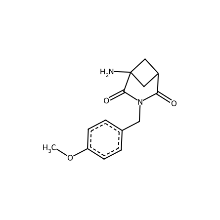 COc1ccc(CN2C(=O)C3CC(N)(C3)C2=O)cc1